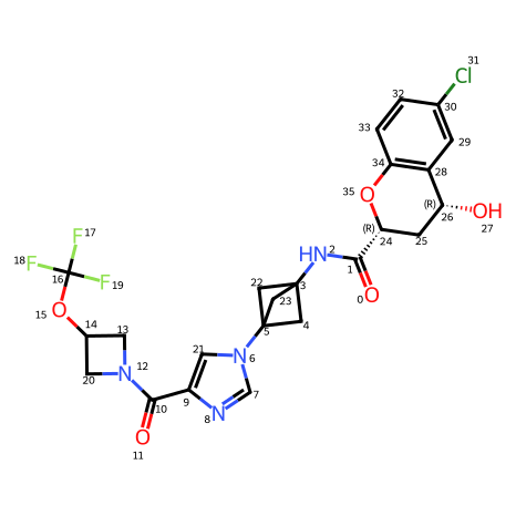 O=C(NC12CC(n3cnc(C(=O)N4CC(OC(F)(F)F)C4)c3)(C1)C2)[C@H]1C[C@@H](O)c2cc(Cl)ccc2O1